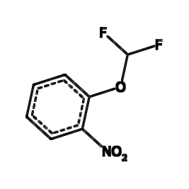 O=[N+]([O-])c1ccccc1OC(F)F